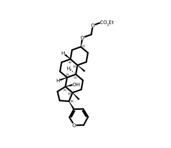 CCOC(=O)OCO[C@H]1CC[C@@]2(C)[C@H](CC[C@@H]3[C@@H]2CC[C@]2(C)[C@@H](C4=COCC=C4)CC[C@]32O)C1